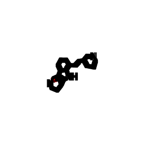 C(=Cc1cccc2c3c([nH]c12)C1CCN(CC1)C3)c1cccnc1